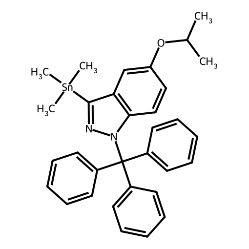 CC(C)Oc1ccc2c(c1)[c]([Sn]([CH3])([CH3])[CH3])nn2C(c1ccccc1)(c1ccccc1)c1ccccc1